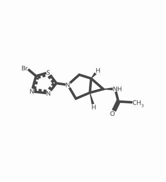 CC(=O)N[C@H]1[C@@H]2CN(c3nnc(Br)s3)C[C@@H]21